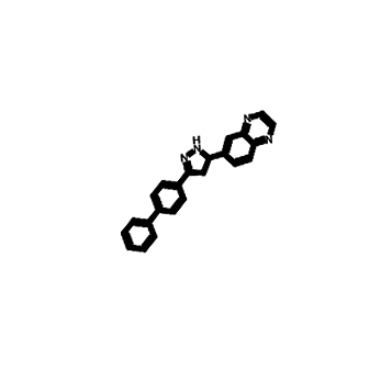 c1ccc(-c2ccc(C3=NNC(c4ccc5nccnc5c4)C3)cc2)cc1